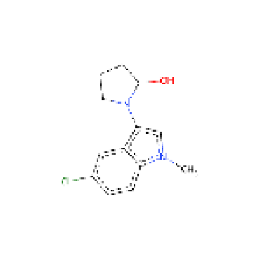 Cn1cc(N2CCCC2O)c2cc(Cl)ccc21